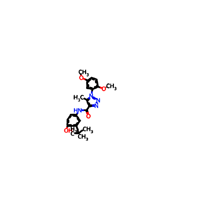 COc1ccc(OC)c(-n2nnc(C(=O)Nc3ccc(O)c(C(C)(C)C)c3)c2C)c1